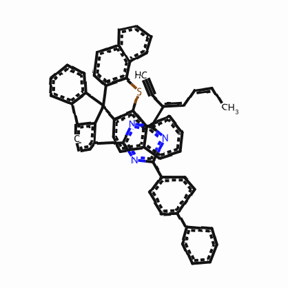 C#C/C(=C\C=C/C)c1nc(-c2ccc(-c3ccccc3)cc2)nc(-c2cccc3c2C2(c4ccccc4-3)c3ccc4ccccc4c3Sc3c2ccc2ccccc32)n1